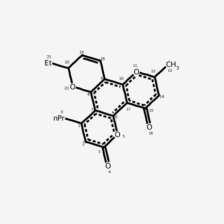 CCCc1[c]c(=O)oc2c1c1c(c3oc(C)cc(=O)c32)C=CC(CC)O1